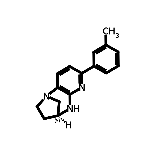 Cc1cccc(-c2ccc3c(n2)N[C@H]2CCN3C2)c1